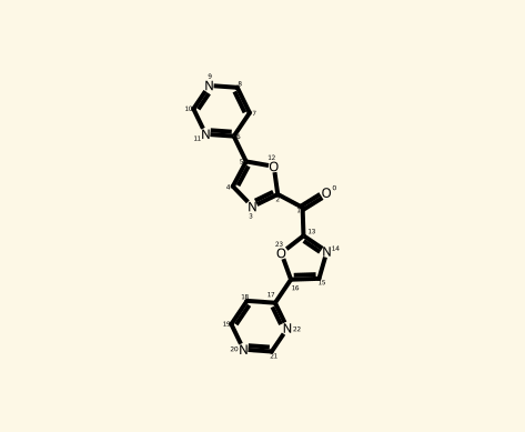 O=C(c1ncc(-c2ccncn2)o1)c1ncc(-c2ccncn2)o1